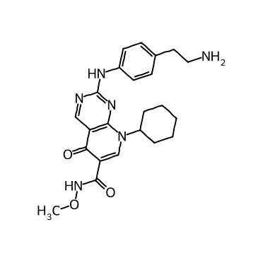 CONC(=O)c1cn(C2CCCCC2)c2nc(Nc3ccc(CCN)cc3)ncc2c1=O